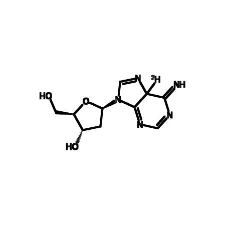 [2H]C12N=CN([C@H]3C[C@H](O)[C@@H](CO)O3)C1=NC=NC2=N